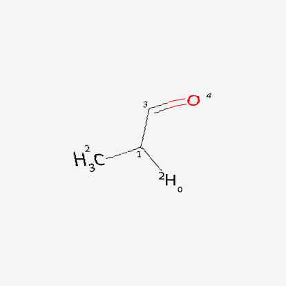 [2H]C(C)C=O